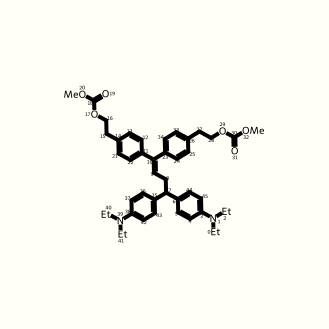 CCN(CC)c1ccc(C(CC=C(c2ccc(CCOC(=O)OC)cc2)c2ccc(CCOC(=O)OC)cc2)c2ccc(N(CC)CC)cc2)cc1